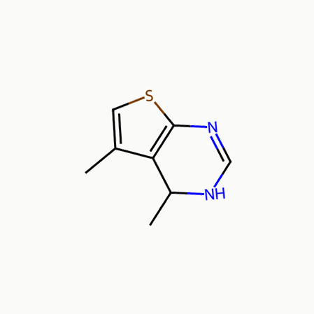 Cc1csc2c1C(C)NC=N2